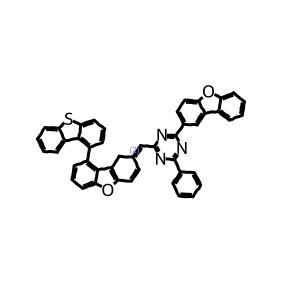 C1=Cc2oc3cccc(-c4cccc5sc6ccccc6c45)c3c2C/C1=C/c1nc(-c2ccccc2)nc(-c2ccc3oc4ccccc4c3c2)n1